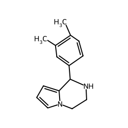 Cc1ccc(C2NCCn3cccc32)cc1C